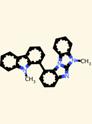 Cn1c2ccccc2c2cccc(-c3cccc4nc5n(C)c6ccccc6n5c34)c21